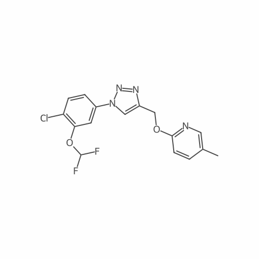 Cc1ccc(OCc2cn(-c3ccc(Cl)c(OC(F)F)c3)nn2)nc1